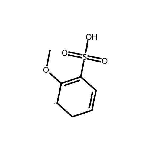 COC1=C(S(=O)(=O)O)C=CC[CH]1